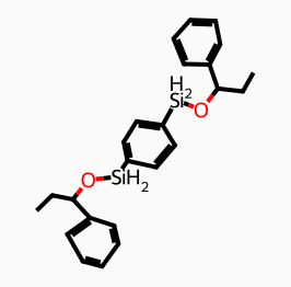 CCC(O[SiH2]c1ccc([SiH2]OC(CC)c2ccccc2)cc1)c1ccccc1